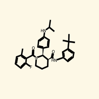 Cc1cccc(F)c1C(=O)N1CCC[C@H](C(=O)Nc2cccc(C(C)(C)C)c2)[C@@H]1c1ccc(NC(C)C)cc1